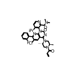 C=CC(=O)N1C[C@H](C)N(c2nc(=O)n(-c3c(C(C)C)ccnc3C(=O)N(C)C)c3nc(-c4ccccc4F)c(Cl)cc23)C[C@H]1C